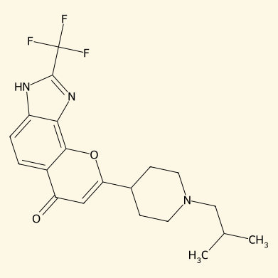 CC(C)CN1CCC(c2cc(=O)c3ccc4[nH]c(C(F)(F)F)nc4c3o2)CC1